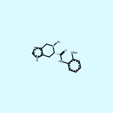 COc1ccccc1NC(=O)[C@@H]1Cc2[nH]cnc2CN1C(C)=O